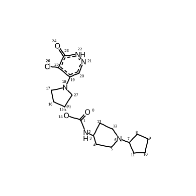 O=C(NC1CCN(C2CCCC2)CC1)O[C@@H]1CCN(c2cn[nH]c(=O)c2Cl)C1